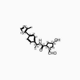 Cc1ncsc1-c1ccc([C@H](C)NC(=O)C2C[C@@H](O)CN2C=O)cc1